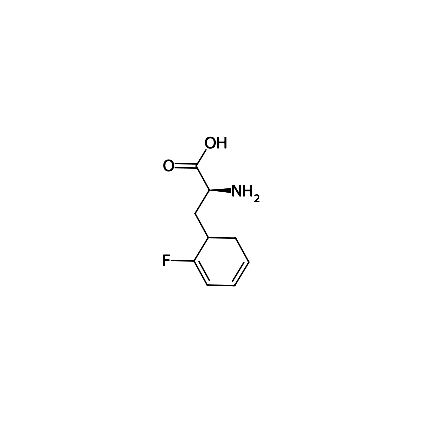 N[C@@H](CC1CC=CC=C1F)C(=O)O